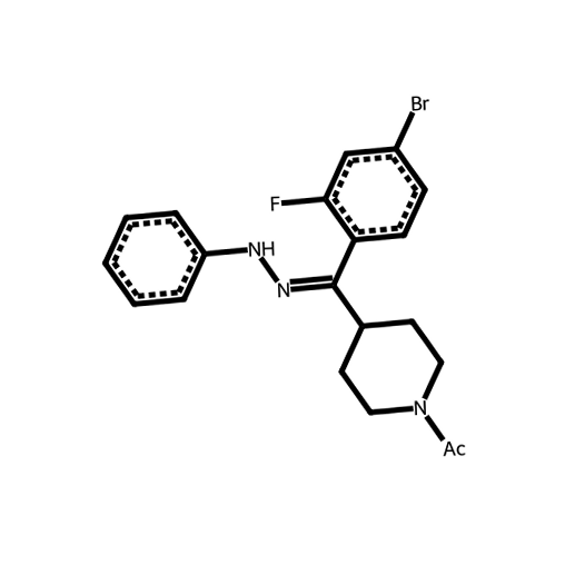 CC(=O)N1CCC(C(=NNc2ccccc2)c2ccc(Br)cc2F)CC1